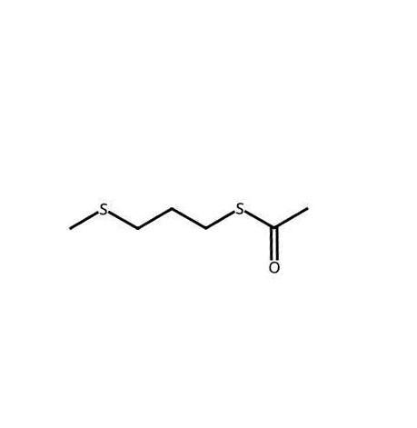 CSCCCSC(C)=O